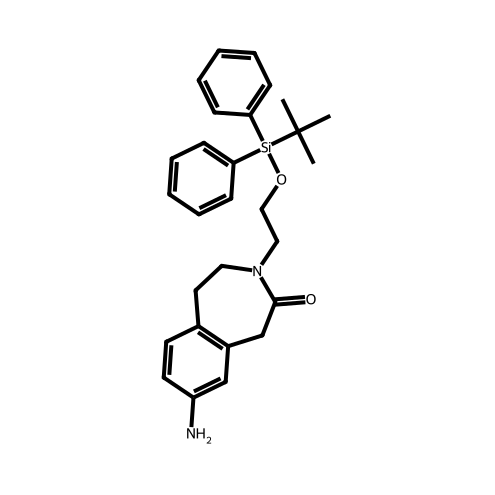 CC(C)(C)[Si](OCCN1CCc2ccc(N)cc2CC1=O)(c1ccccc1)c1ccccc1